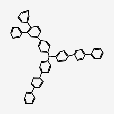 c1ccc(-c2ccc(-c3ccc(N(c4ccc(-c5ccc(-c6ccccc6)cc5)cc4)c4ccc(-c5ccc(-c6ccccc6)c(-c6ccccc6)c5)cc4)cc3)cc2)cc1